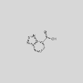 O=C(O)c1cccn2ncnc12